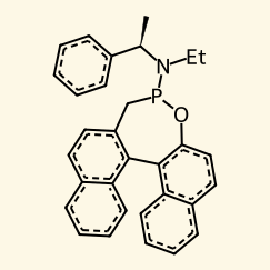 CCN([C@H](C)c1ccccc1)P1Cc2ccc3ccccc3c2-c2c(ccc3ccccc23)O1